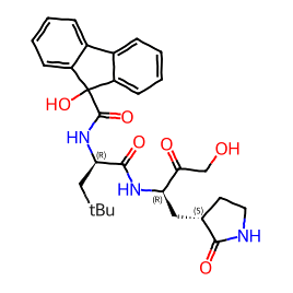 CC(C)(C)C[C@@H](NC(=O)C1(O)c2ccccc2-c2ccccc21)C(=O)N[C@H](C[C@@H]1CCNC1=O)C(=O)CO